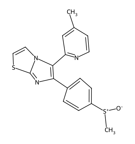 Cc1ccnc(-c2c(-c3ccc([S+](C)[O-])cc3)nc3sccn23)c1